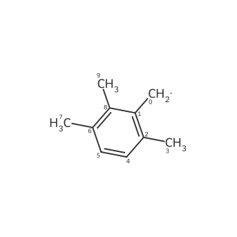 [CH2]c1c(C)ccc(C)c1C